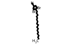 CCCCCCCCCCCCCCCCCCc1c(Br)cc(C#N)cc1Br